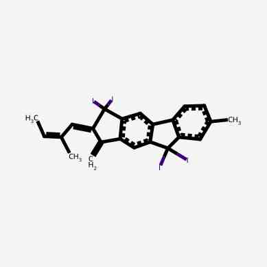 C=C1/C(=C\C(C)=C/C)C(I)(I)c2cc3c(cc21)C(I)(I)c1cc(C)ccc1-3